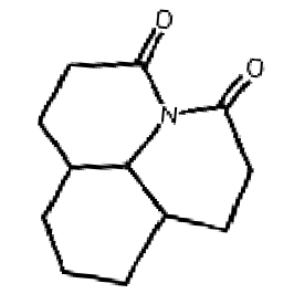 O=C1CCC2CCCC3CCC(=O)N1C23